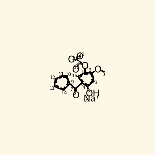 COc1cc(O)c(C(=O)c2ccccc2)cc1OS(=O)(=O)[O-].[Na+]